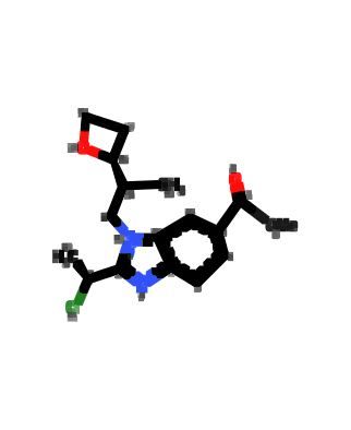 COC(=O)c1ccc2nc([C@H](C)Cl)n(CC([SiH3])[C@@H]3CCO3)c2c1